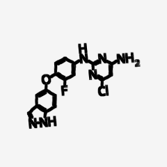 Nc1cc(Cl)nc(Nc2ccc(Oc3ccc4[nH]ncc4c3)c(F)c2)n1